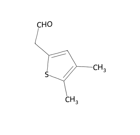 Cc1cc(CC=O)sc1C